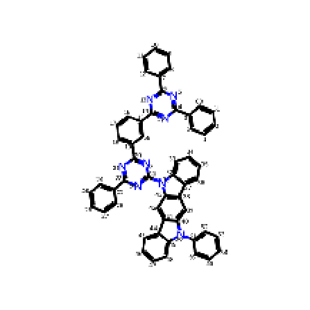 c1ccc(-c2nc(-c3ccccc3)nc(-c3cccc(-c4nc(-c5ccccc5)nc(-n5c6ccccc6c6cc7c(cc65)c5ccccc5n7-c5ccccc5)n4)c3)n2)cc1